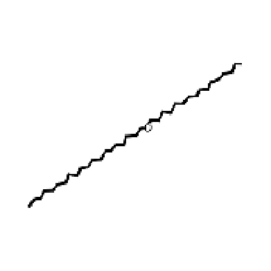 CCCCCCCCCCCCCCCCCCCCOCCCCCCCCCCCCCCCC